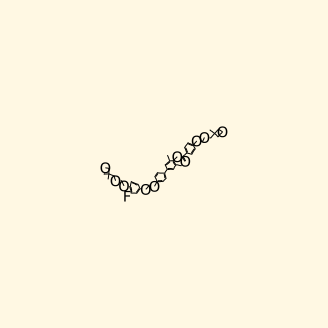 Cc1cc(-c2ccc(OCOc3ccc(OCOCC4(C)COC4)c(F)c3)cc2)cc(C)c1OC(=O)c1ccc(OCOCC2(C)COC2)cc1